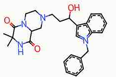 CC1(C)NC(=O)C2CN(CCC(O)c3cn(Cc4ccccc4)c4ccccc34)CCN2C1=O